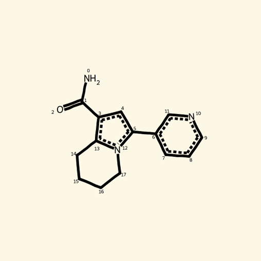 NC(=O)c1cc(-c2cccnc2)n2c1CCCC2